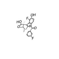 CCC(C)[C@@](C)(C(=O)O)c1c(C)n(C(=O)c2cccc(F)c2)c2ccc(O)c(F)c12